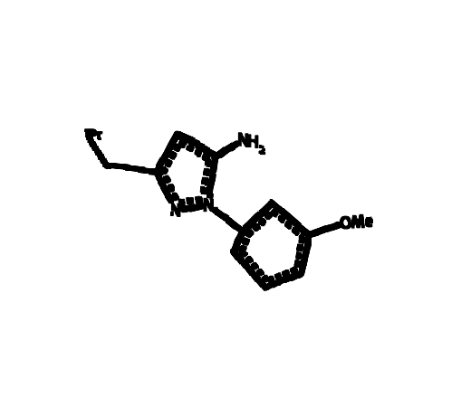 COc1cccc(-n2nc(CC(C)C)cc2N)c1